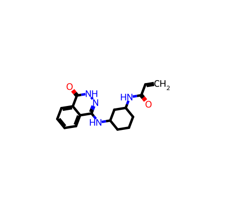 C=CC(=O)NC1CCCC(Nc2n[nH]c(=O)c3ccccc23)C1